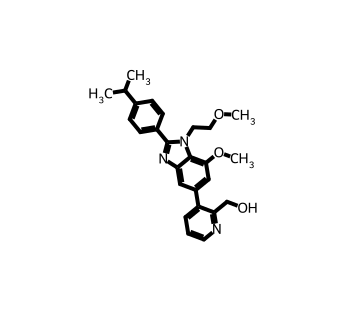 COCCn1c(-c2ccc(C(C)C)cc2)nc2cc(-c3cccnc3CO)cc(OC)c21